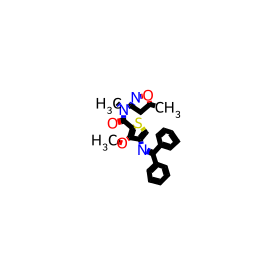 COc1c(N=C(c2ccccc2)c2ccccc2)csc1C(=O)N(C)C1=NOC(C)C1